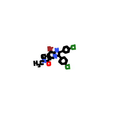 CN(C)C(=O)c1cc(Br)c2nc(-c3ccc(Cl)cc3)c(-c3ccc(Cl)cc3)n2c1